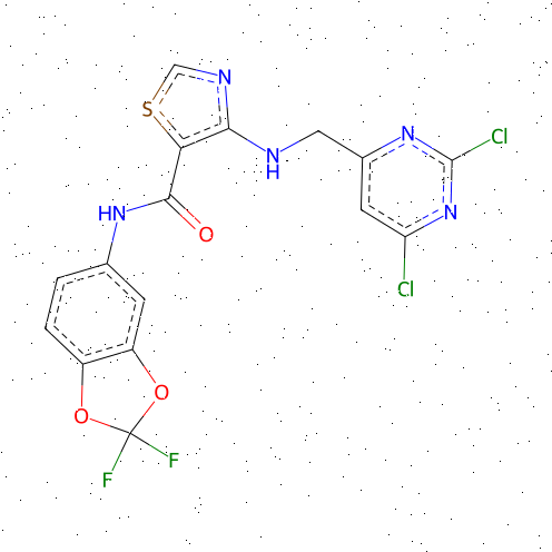 O=C(Nc1ccc2c(c1)OC(F)(F)O2)c1scnc1NCc1cc(Cl)nc(Cl)n1